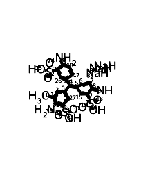 Cc1cc(/C(=C2/C=CC(=N)C(S(=O)(=O)O)=C2)c2ccc(N)c(S(=O)(=O)O)c2)cc(S(=O)(=O)O)c1N.[NaH].[NaH].[NaH]